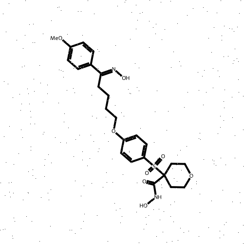 COc1ccc(C(CCCCOc2ccc(S(=O)(=O)C3(C(=O)NO)CCOCC3)cc2)=NO)cc1